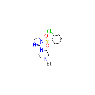 CCN1CCN(C2=NCCN2S(=O)(=O)c2ccccc2Cl)CC1